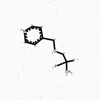 CC(F)(F)COCc1ccncc1